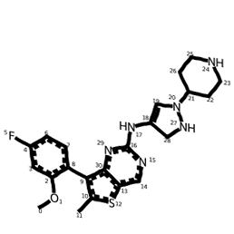 COc1cc(F)ccc1-c1c(C)sc2cnc(NC3=CN(C4CCNCC4)NC3)nc12